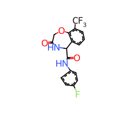 O=C1COc2c(cccc2C(F)(F)F)C(C(=O)Nc2ccc(F)cc2)N1